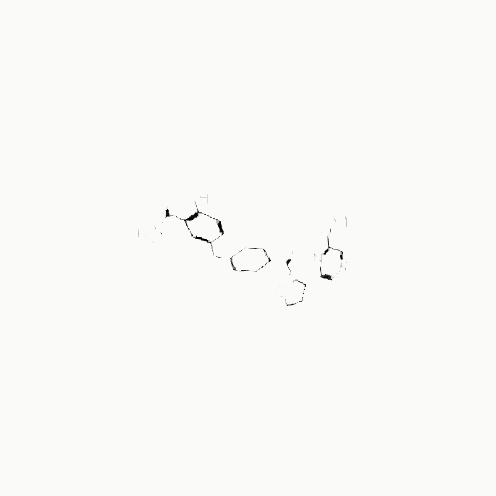 COc1cncc([C@@H]2CCON2C(=O)[C@H]2CC[C@H](Cc3ccc(C)c(C(N)=O)c3)CC2)n1